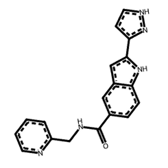 O=C(NCc1ccccn1)c1ccc2[nH]c(-c3cc[nH]n3)cc2c1